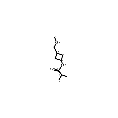 COCC1CC(OC(=O)C(C)C)C1